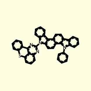 c1ccc(-n2c3ccccc3c3ccc4c(ccc5c4c4ccccc4n5-c4nc5c6c(cccc6n4)Sc4ccccc4-5)c32)cc1